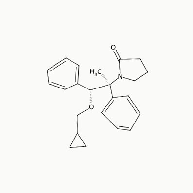 C[C@](c1ccccc1)([C@H](OCC1CC1)c1ccccc1)N1CCCC1=O